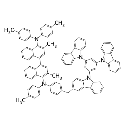 Cc1ccc(N(c2ccc(C)cc2)c2c(C)cc(-c3cc(C)c(N(c4ccc(C)cc4)c4ccc(Cc5ccc6c(c5)c5ccccc5n6-c5cc(-n6c7ccccc7c7ccccc76)cc(-n6c7ccccc7c7ccccc76)c5)cc4)c4ccccc34)c3ccccc23)cc1